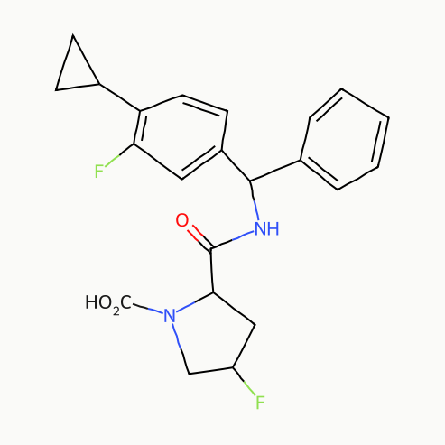 O=C(NC(c1ccccc1)c1ccc(C2CC2)c(F)c1)C1CC(F)CN1C(=O)O